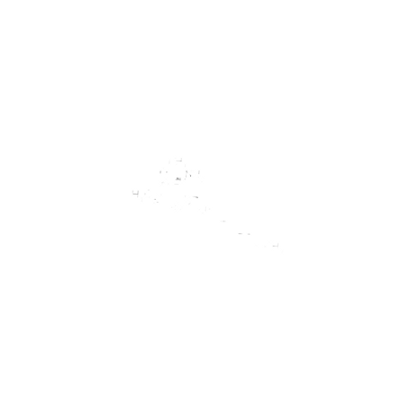 CCCCCCCOC[C@H]1OC[C@H](C)[C@H](OC)[C@H]1N